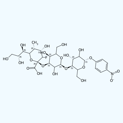 C[C@H]1C([C@H](O)[C@H](O)CO)O[C@@](O[C@@H]2C(O)[C@H](O[C@@H]3C(CO)O[C@@H](Oc4ccc([N+](=O)[O-])cc4)C(O)[C@H]3O)OC(CO)[C@@H]2O)(C(=O)O)C(F)[C@H]1O